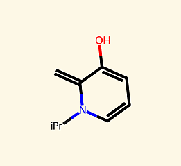 C=C1C(O)=CC=CN1C(C)C